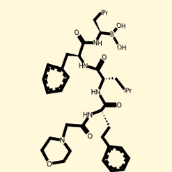 CC(C)C[C@H](NC(=O)[C@H](Cc1ccccc1)NC(=O)[C@H](CC(C)C)NC(=O)[C@H](CCc1ccccc1)NC(=O)CN1CCOCC1)B(O)O